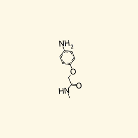 CNC(=O)COc1ccc(N)cc1